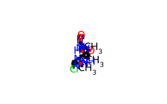 Cc1cc(CCNc2ccc(Cl)nc2-c2c[nH]nc2C)c2c(c1)c(=O)n(C)c1c2cnn1CCN1CCOCC1